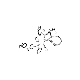 Cc1c(C(=O)/C(Cl)=C(\Cl)C(=O)O)c2ccccc2n1C